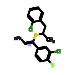 CCC/C=C(\SC(C)Cc1ccccc1Cl)c1ccc(F)c(Cl)c1